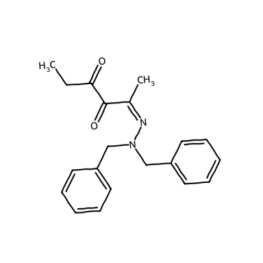 CCC(=O)C(=O)C(C)=NN(Cc1ccccc1)Cc1ccccc1